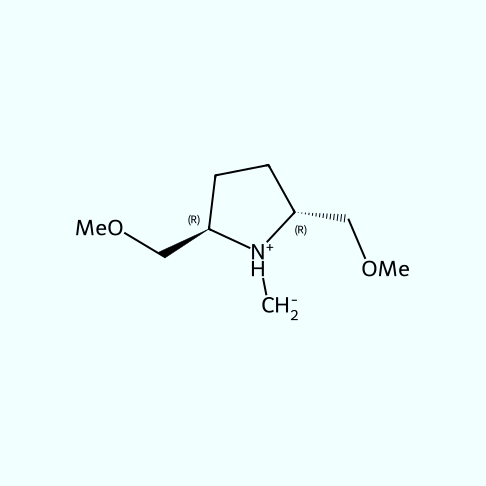 [CH2-][NH+]1[C@@H](COC)CC[C@@H]1COC